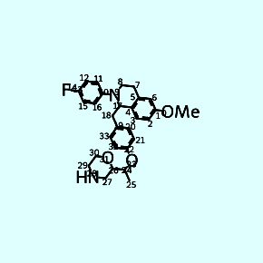 COc1ccc2c(c1)CCN(c1ccc(F)cc1)C2Cc1ccc(OC(C)C2CNCCO2)cc1